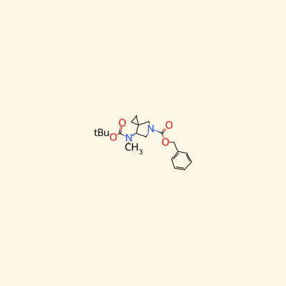 CN(C(=O)OC(C)(C)C)[C@@H]1CN(C(=O)OCc2ccccc2)CC12CC2